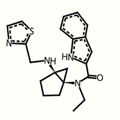 CCN(C(=O)c1cc2ccccc2[nH]1)[C@@]12CCC[C@]1(NCc1nccs1)C2